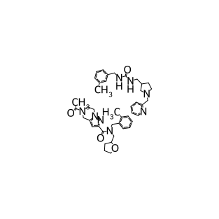 CC(=O)N1CCn2nc(C(=O)N(Cc3ccccc3C)CC3CCCO3)cc2C1.Cc1cccc(CNC(=O)NCC2CCN(Cc3ccccn3)C2)c1